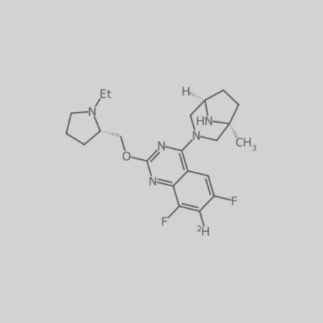 [2H]c1c(F)cc2c(N3C[C@H]4CC[C@@](C)(C3)N4)nc(OC[C@@H]3CCCN3CC)nc2c1F